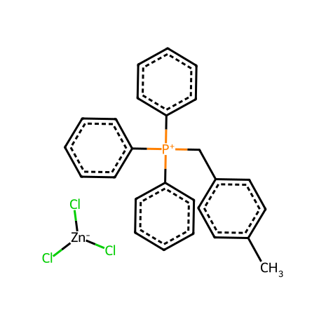 Cc1ccc(C[P+](c2ccccc2)(c2ccccc2)c2ccccc2)cc1.[Cl][Zn-]([Cl])[Cl]